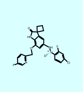 O=C1Nc2c(OCc3ccc(F)cn3)cc(N[S@@+]([O-])c3ccc(Cl)cc3F)cc2C12CCC2